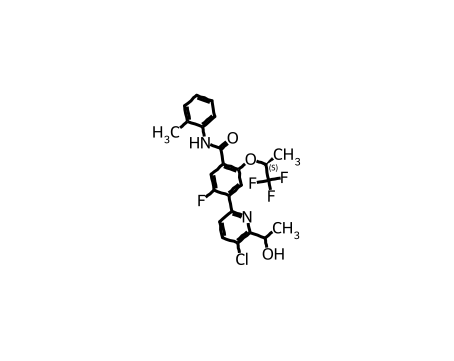 Cc1ccccc1NC(=O)c1cc(F)c(-c2ccc(Cl)c(C(C)O)n2)cc1O[C@@H](C)C(F)(F)F